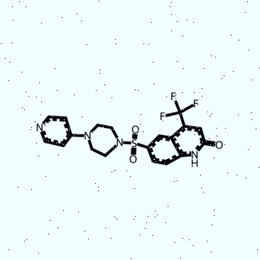 O=c1cc(C(F)(F)F)c2cc(S(=O)(=O)N3CCN(c4ccncc4)CC3)ccc2[nH]1